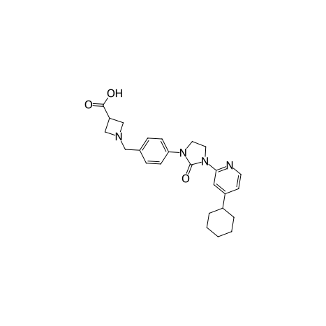 O=C(O)C1CN(Cc2ccc(N3CCN(c4cc(C5CCCCC5)ccn4)C3=O)cc2)C1